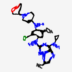 N#Cc1cc(Nc2nc(NC3CC3)c3ncc(C#N)n3n2)c(Cl)cc1NC1CCN(C2COC2)CC1